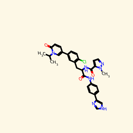 CC(C)n1cc(-c2ccc(Cl)c(CC(NC(=O)c3ccnn3C)C(=O)Nc3ccc(-c4c[nH]cn4)cc3)c2)ccc1=O